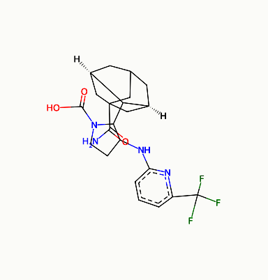 NC(=O)C12CC3C[C@H](C1)C(C1C(Nc4cccc(C(F)(F)F)n4)CCN1C(=O)O)[C@@H](C3)C2